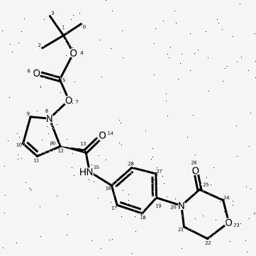 CC(C)(C)OC(=O)ON1CC=C[C@@H]1C(=O)Nc1ccc(N2CCOCC2=O)cc1